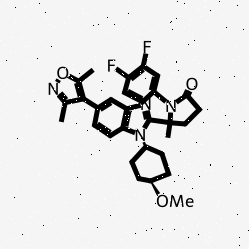 CO[C@H]1CC[C@H](n2c(C3(C)CCC(=O)N3c3ccc(F)c(F)c3)nc3cc(-c4c(C)noc4C)ccc32)CC1